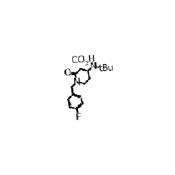 CC(C)(C)N(C(=O)O)C1CCN(Cc2ccc(F)cc2)C(=O)C1